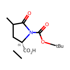 CC.CC1C[C@@H](C(=O)O)N(C(=O)OC(C)(C)C)C1=O